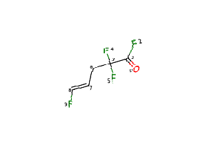 O=C(F)C(F)(F)C/C=C/F